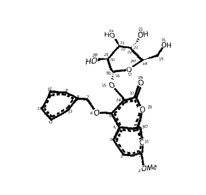 COc1ccc2c(OCc3ccccc3)c(O[C@H]3O[C@H](CO)[C@@H](O)[C@H](O)[C@@H]3O)c(=O)oc2c1